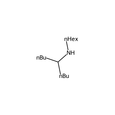 CCCCCCNC(CCCC)CCCC